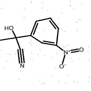 CC(O)(C#N)c1cccc([N+](=O)[O-])c1